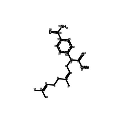 COC(=O)N(CC=C(C)CCC=C(C)C)c1ccc(C(N)=O)cc1